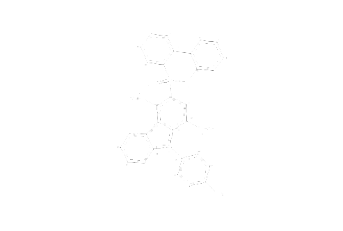 COc1c(P2(=O)Oc3ccccc3-c3ccccc32)cc(OC)c2c1c1ccccc1n2-c1ccc(C(C)(C)C)cc1